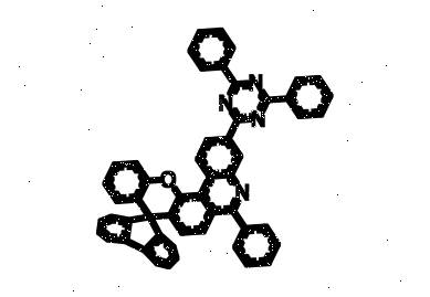 c1ccc(-c2nc(-c3ccccc3)nc(-c3ccc4c(c3)nc(-c3ccccc3)c3ccc5c(c34)Oc3ccccc3C53c4ccccc4-c4ccccc43)n2)cc1